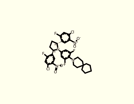 O=[N+]([O-])c1cc([C@H]2CC[C@H](c3cc([N+](=O)[O-])c(Cl)cc3F)N2c2cc(F)c(N3CCC4(CCCCC4)CC3)c(F)c2)c(F)cc1Cl